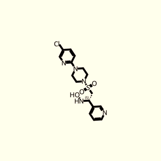 O=S(=O)(C[C@@H](NO)c1cccnc1)N1CCN(c2ccc(Cl)cn2)CC1